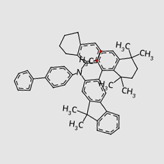 Cc1ccc2c(c1-c1cc3c(cc1N(c1ccc(-c4ccccc4)cc1)c1cccc4c1CCCC4)C(C)(C)c1ccccc1-3)C(C)(C)CCC2(C)C